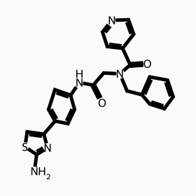 Nc1nc(-c2ccc(NC(=O)CN(Cc3ccccc3)C(=O)c3ccncc3)cc2)cs1